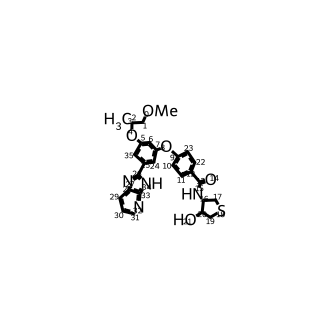 COCC(C)Oc1cc(Oc2ccc(C(=O)NC3CSCC3O)cc2)cc(-c2nc3cccnc3[nH]2)c1